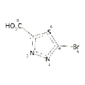 O=C(O)c1nnc(Br)s1